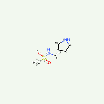 CS(=O)(=O)NC[C@H]1CCNC1